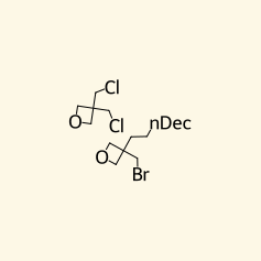 CCCCCCCCCCCCC1(CBr)COC1.ClCC1(CCl)COC1